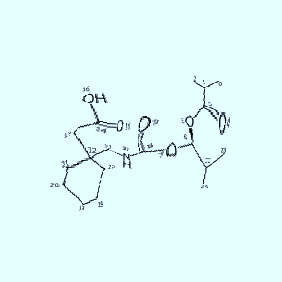 CC(C)C(=O)O[C@H](OC(=O)NCC1(CC(=O)O)CCCCC1)C(C)C